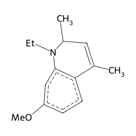 CCN1c2cc(OC)ccc2C(C)=CC1C